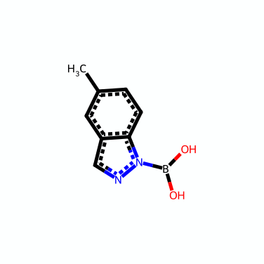 Cc1ccc2c(cnn2B(O)O)c1